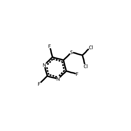 Fc1nc(F)c(SC(Cl)Cl)c(F)n1